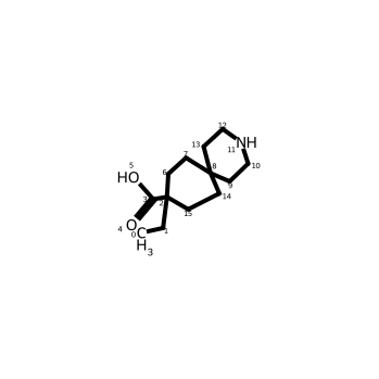 CCC1(C(=O)O)CCC2(CCNCC2)CC1